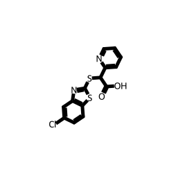 O=C(O)C(Sc1nc2cc(Cl)ccc2s1)c1ccccn1